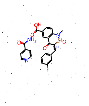 CN1c2ccc(C(=O)O)cc2C(=O)/C(=C\c2cccc(F)c2)[S+]1[O-].NC(=O)c1ccncc1